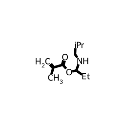 C=C(C)C(=O)OC(CC)NCC(C)C